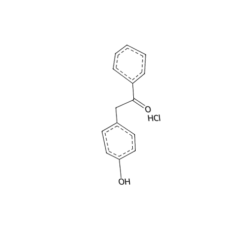 Cl.O=C(Cc1ccc(O)cc1)c1ccccc1